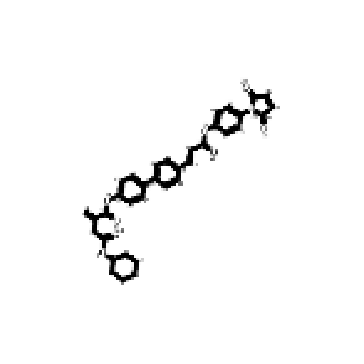 C=C(CC(=O)OC1CCCCC1)C(=O)Oc1ccc(-c2ccc(/C=C/C(=O)Oc3ccc(N4C(=O)C=CC4=O)cc3)cc2)cc1